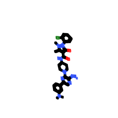 Cc1c(C(=O)NC2CCN(c3nc(-c4cccc(N(C)C)c4)cnc3N)CC2)c(=O)n(-c2ccccc2Cl)n1C